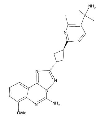 COc1cccc2c1nc(N)n1nc([C@H]3C[C@H](c4ccc(C(C)(C)N)c(C)n4)C3)nc21